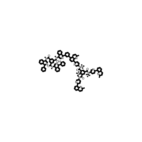 Cc1ccc2cccc(-c3ccc(N(CS(C)(C)C)C(=O)c4cc(C(=O)N(c5ccc(-c6cccc7ccc(C)nc67)nc5)[Si](C)(C)C)cc(C(=O)N(c5ccc(-c6ccc(-c7cccc(-c8ncc(N(C)C(O)c9cc(C(=O)N(C)c%10cnc(-c%11ccccc%11)c%11ccccc%10%11)cc(C(=O)N(C)c%10cnc(-c%11ccccc%11)c%11ccccc%10%11)c9)c9ccccc89)c7)c7ccc(C)nc67)nc5)[Si](C)(C)C)c4)cn3)c2n1